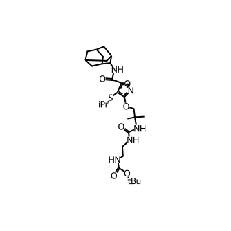 CC(C)Sc1c(OCC(C)(C)NC(=O)NCCNC(=O)OC(C)(C)C)noc1C(=O)NC1C2CC3CC(C2)CC1C3